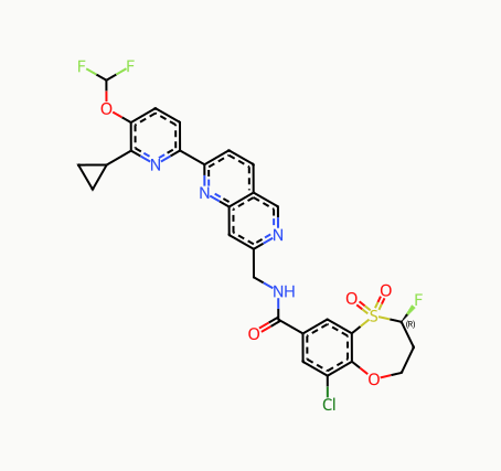 O=C(NCc1cc2nc(-c3ccc(OC(F)F)c(C4CC4)n3)ccc2cn1)c1cc(Cl)c2c(c1)S(=O)(=O)[C@@H](F)CCO2